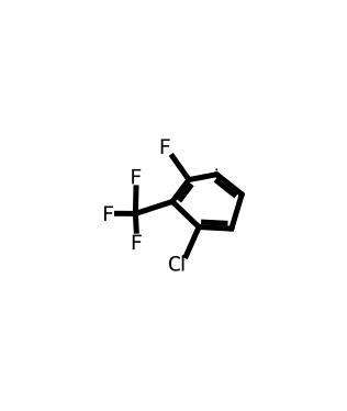 Fc1[c]ccc(Cl)c1C(F)(F)F